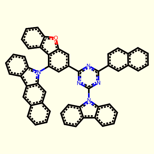 c1ccc2cc(-c3nc(-c4cc(-n5c6ccccc6c6cc7ccccc7cc65)c5c(c4)oc4ccccc45)nc(-n4c5ccccc5c5ccccc54)n3)ccc2c1